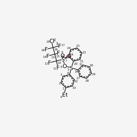 CCc1ccc(S(OS(=O)(=O)C(F)(F)C(F)(F)C(F)(F)C(F)(F)F)(c2ccccc2)c2ccccc2)cc1